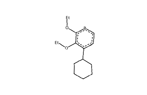 CCOc1bccc(C2CCCCC2)c1OCC